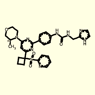 C[C@H]1COCCN1c1cc(C2(S(=O)(=O)c3ccccn3)CCC2)nc(-c2ccc(NC(=O)NCc3ncc[nH]3)cc2)n1